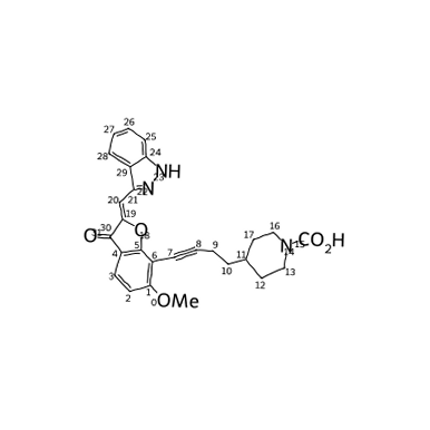 COc1ccc2c(c1C#CCCC1CCN(C(=O)O)CC1)OC(=Cc1n[nH]c3ccccc13)C2=O